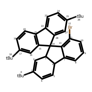 CC(C)(C)C1=CC2C(C=C1)c1cccc(Br)c1C21c2cc(C(C)(C)C)ccc2-c2ccc(C(C)(C)C)cc21